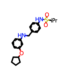 CC(C)S(=O)(=O)Nc1ccc(CNc2cccc(OC3CCCC3)c2)cc1